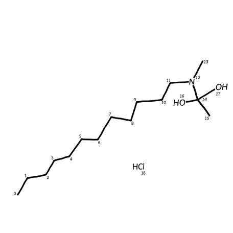 CCCCCCCCCCCCN(C)C(C)(O)O.Cl